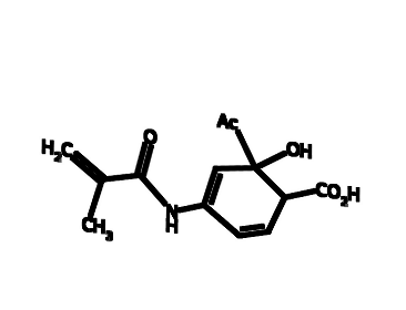 C=C(C)C(=O)NC1=CC(O)(C(C)=O)C(C(=O)O)C=C1